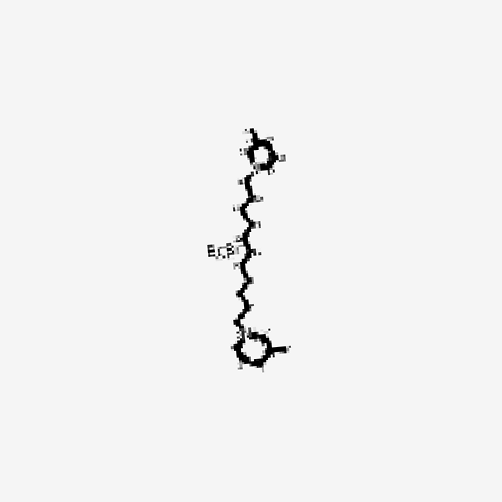 Cc1ccc[n+](CCCCCCCCCCC[n+]2cccc(C)c2)c1.[Br-].[Br-]